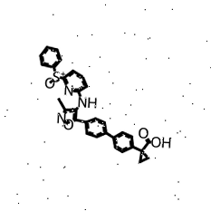 Cc1noc(-c2ccc(-c3ccc(C4(C(=O)O)CC4)cc3)cc2)c1Nc1cccc([S+]([O-])c2ccccc2)n1